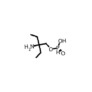 CCC(N)(CC)CO[PH](=O)O